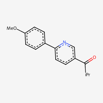 COc1ccc(-c2ccc(C(=O)C(C)C)cn2)cc1